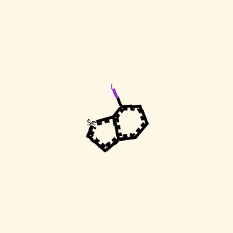 Ic1cccc2cc[se]c12